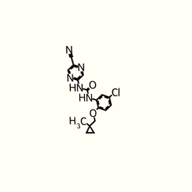 CC1(COc2ccc(Cl)cc2NC(=O)Nc2cnc(C#N)cn2)CC1